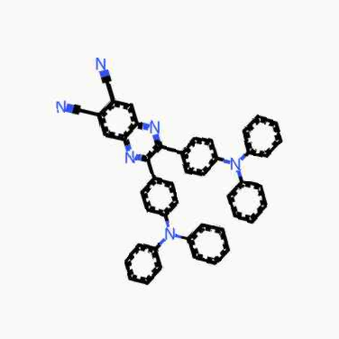 N#Cc1cc2nc(-c3ccc(N(c4ccccc4)c4ccccc4)cc3)c(-c3ccc(N(c4ccccc4)c4ccccc4)cc3)nc2cc1C#N